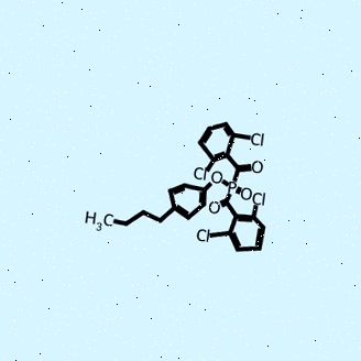 CCCCc1ccc(OP(=O)(C(=O)c2c(Cl)cccc2Cl)C(=O)c2c(Cl)cccc2Cl)cc1